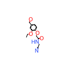 CCOc1cc(C=O)ccc1OCC(=O)NCC#N